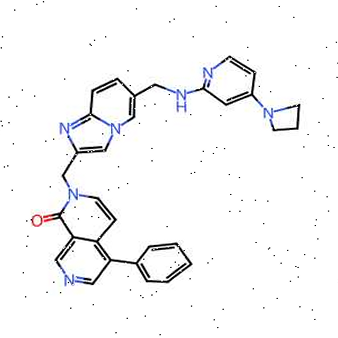 O=c1c2cncc(-c3ccccc3)c2ccn1Cc1cn2cc(CNc3cc(N4CCC4)ccn3)ccc2n1